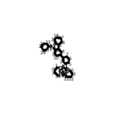 C1=CB2N(c3cccc(-c4ccc5c(c4)c4ccccc4n5-c4ccccc4)c3)B3C=CC=CN3N2C=C1